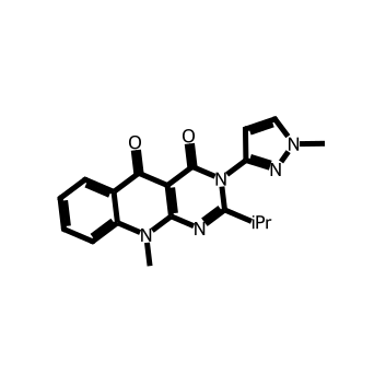 CC(C)c1nc2c(c(=O)c3ccccc3n2C)c(=O)n1-c1ccn(C)n1